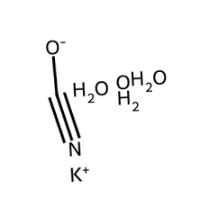 N#C[O-].O.O.O.[K+]